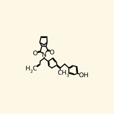 C=CCC(C1=CCC(=C(C)Cc2ccc(O)cc2)C=C1)N1C(=O)C2C3C=CC(C3)C2C1=O